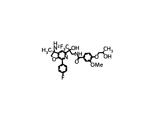 COc1cc(C(=O)NCC(O)(c2cc3c(c(-c4ccc(F)cc4)n2)OC[C@@]3(C)N)C(F)(F)F)ccc1OC[C@@H](C)O